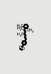 CC1=C(/C=C/C(C)=C/C=C/c2ccc(C3OCCO3)cc2)C(C)(C)CCC1